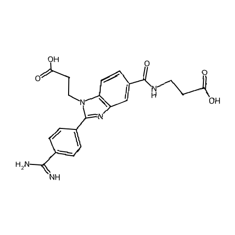 N=C(N)c1ccc(-c2nc3cc(C(=O)NCCC(=O)O)ccc3n2CCC(=O)O)cc1